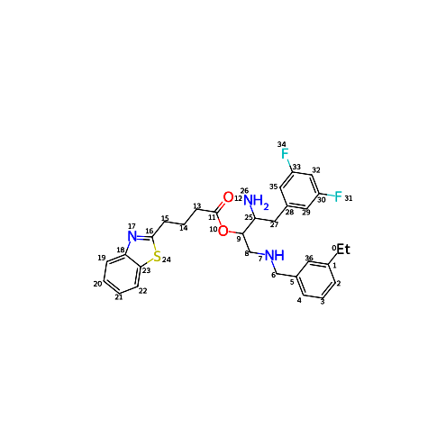 CCc1cccc(CNCC(OC(=O)CCCc2nc3ccccc3s2)C(N)Cc2cc(F)cc(F)c2)c1